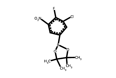 CC1(C)OB(c2cc(Cl)c(F)c([N+](=O)[O-])c2)OC1(C)C